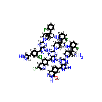 NC[C@]1(c2ccccc2F)[C@@H]2CCN(c3cnc4c(-c5ccc(-c6cn[nH]c6)cc5Cl)n[nH]c4n3)C[C@@H]21.NC[C@]1(c2ccccc2F)[C@@H]2CCN(c3cnc4c(-c5ccc6cc(Cl)cnc6c5)n[nH]c4n3)C[C@@H]21.NC[C@]1(c2ccccc2F)[C@@H]2CCN(c3cnc4c(-c5ccc6cn[nH]c(=O)c6c5)n[nH]c4n3)C[C@@H]21